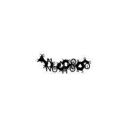 O=S(=O)(c1ccc2c(c1)CCO2)N1CCN2C[C@H](Oc3cnc(C4CC4)cn3)C[C@H]2C1